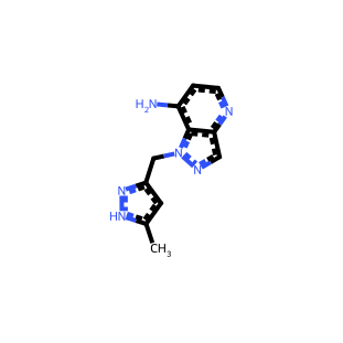 Cc1cc(Cn2ncc3nccc(N)c32)n[nH]1